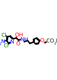 CCOC(=O)COc1ccc(CCCNC(=O)C(O)c2cc(Cl)c(N)c(Cl)n2)cc1